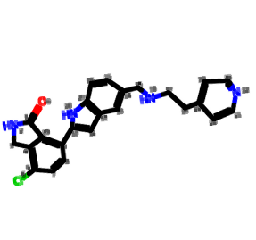 O=C1NCc2c(Cl)ccc(-c3cc4cc(CNCCc5ccncc5)ccc4[nH]3)c21